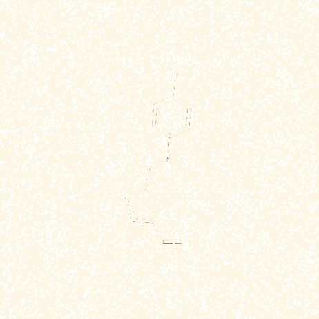 CC(=O)c1sc(NC(=O)c2ccc([N+](=O)[O-])cc2)nc1C